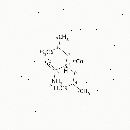 CC(C)C[SH](CC(C)C)C(N)=S.[Co]